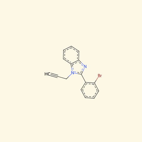 C#CCn1c(-c2ccccc2Br)nc2ccccc21